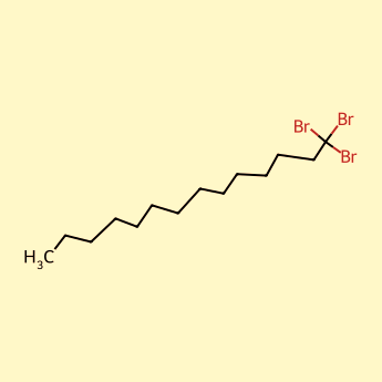 CCCCCCCCCCCCCC(Br)(Br)Br